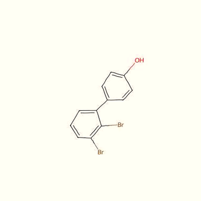 Oc1ccc(-c2cccc(Br)c2Br)cc1